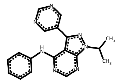 CC(C)n1nc(-c2cncnc2)c2c(Nc3ccccc3)ncnc21